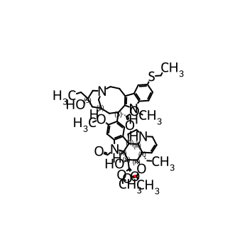 CCSc1ccc2[nH]c3c(c2c1)CCN1C[C@H](C[C@@](O)(CC)C1)C[C@]3(C(=O)OC)c1cc2c(cc1OC)N(C=O)[C@H]1[C@@](O)(C(=O)OC)[C@H](OC(C)=O)[C@]3(CC)C=CCN4CC[C@]21[C@@H]43